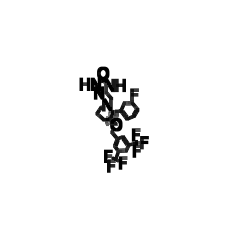 O=c1[nH]nc(CN2CCC[C@H](OCc3cc(C(F)(F)F)cc(C(F)(F)F)c3)[C@@H]2c2cccc(F)c2)[nH]1